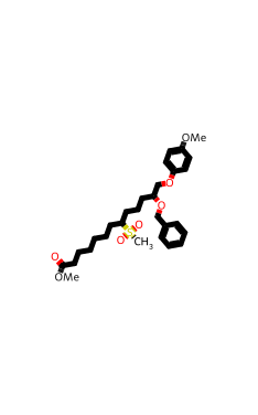 COC(=O)CCCCCCC(CCCC(COc1ccc(OC)cc1)OCc1ccccc1)S(C)(=O)=O